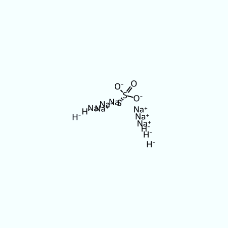 O=S([O-])([O-])=S.[H-].[H-].[H-].[H-].[H-].[Na+].[Na+].[Na+].[Na+].[Na+].[Na+].[Na+]